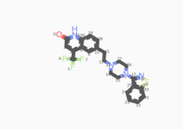 O=c1cc(C(F)(F)F)c2cc(CCN3CCN(c4nsc5ccccc45)CC3)ccc2[nH]1